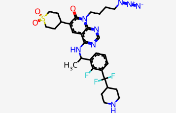 CC(Nc1ncnc2c1cc(C1CCS(=O)(=O)CC1)c(=O)n2CCCCN=[N+]=[N-])c1cccc(C(F)(F)C2CCNCC2)c1F